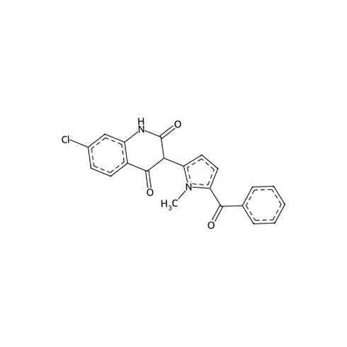 Cn1c(C(=O)c2ccccc2)ccc1C1C(=O)Nc2cc(Cl)ccc2C1=O